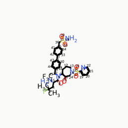 CC(C)(F)C[C@H](N)C(=O)N(C1CCCN(S(=O)(=O)c2ccccn2)CC1=O)[C@@H](c1ccc(-c2ccc(CS(N)(=O)=O)cc2)cc1)C(F)(F)F